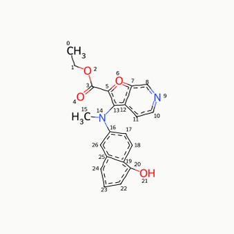 CCOC(=O)c1oc2cnccc2c1N(C)c1ccc2c(O)cccc2c1